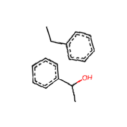 CC(O)c1ccccc1.CCc1ccccc1